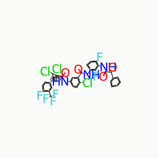 O=C(Nc1c(F)ccc(NC(=O)c2cc(NC(=O)[C@H]3[C@H](c4ccc(F)c(C(F)(F)F)c4)C3(Cl)Cl)ccc2Cl)c1F)C(=O)c1ccccc1